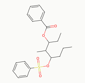 CCCC(OS(=O)(=O)c1ccccc1)C(C)C(CC)OC(=O)c1ccccc1